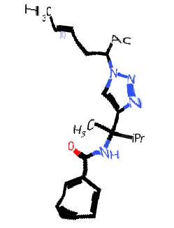 C/C=C/CC(C(C)=O)n1cc(C(C)(NC(=O)c2ccccc2)C(C)C)nn1